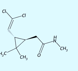 CNC(=O)C[C@@H]1[C@@H](C=C(Cl)Cl)C1(C)C